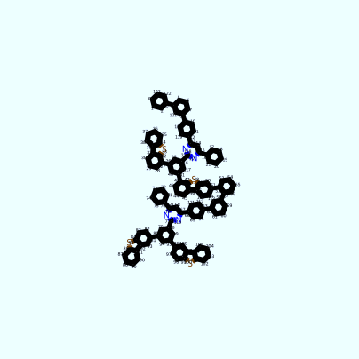 c1ccc(-c2cccc(-c3ccc(-c4cc(-c5ccccc5)nc(-c5cc(-c6cccc7c6sc6ccccc67)cc(-c6cccc7c6sc6cc(-c8ccccc8-c8cccc(-c9ccc(-c%10cc(-c%11ccccc%11)nc(-c%11cc(-c%12ccc%13sc%14ccccc%14c%13c%12)cc(-c%12ccc%13sc%14ccccc%14c%13c%12)c%11)n%10)cc9)c8)ccc67)c5)n4)cc3)c2)cc1